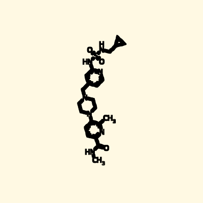 CNC(=O)c1ccc(N2CCN(Cc3ccnc(NS(=O)(=O)NCC4CC4)c3)CC2)c(C)n1